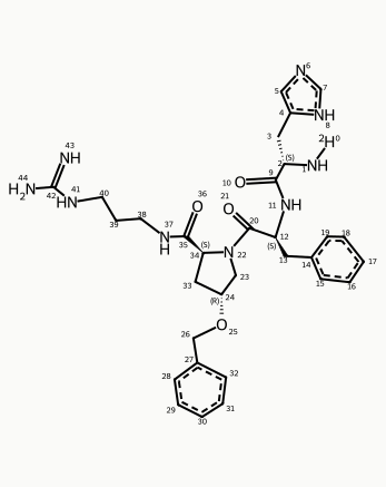 [2H]N[C@@H](Cc1cnc[nH]1)C(=O)N[C@@H](Cc1ccccc1)C(=O)N1C[C@H](OCc2ccccc2)C[C@H]1C(=O)NCCCNC(=N)N